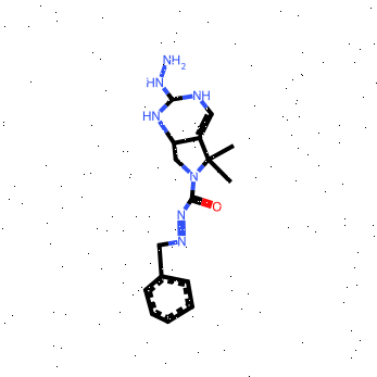 CC1(C)C2=CNC(NN)NC2CN1C(=O)N=NCc1ccccc1